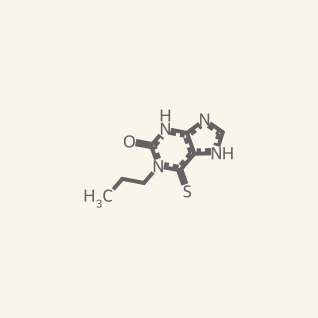 CCCn1c(=O)[nH]c2nc[nH]c2c1=S